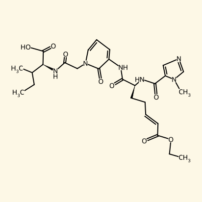 CCOC(=O)/C=C/CC[C@H](NC(=O)c1cncn1C)C(=O)Nc1cccn(CC(=O)N[C@H](C(=O)O)C(C)CC)c1=O